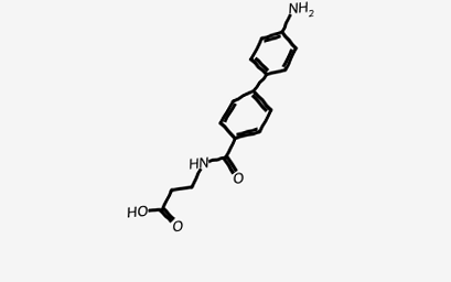 Nc1ccc(-c2ccc(C(=O)NCCC(=O)O)cc2)cc1